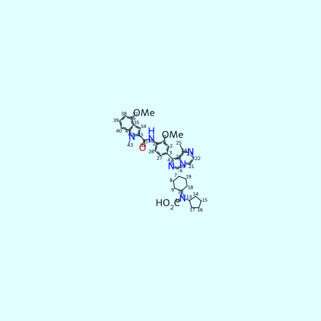 COc1cc(-c2nc([C@H]3CC[C@H](N(C(=O)O)C4CCCC4)CC3)n3ccnc(C)c23)ccc1NC(=O)c1cc2c(OC)cccc2n1C